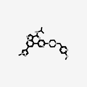 COc1ccc(CN2CCN(c3ccc(-c4cc(-c5cnn(C)c5)cn5ncc(C(=O)NC(C)C)c45)cn3)CC2)cn1